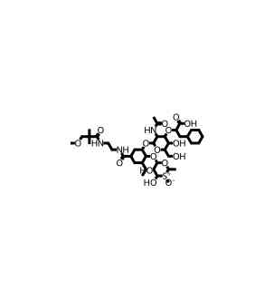 CCC1CC(C(=O)NCCNC(=O)C(C)(C)COC)CC(OC2OC(CO)C(O)C(OC(CC3CCCCC3)C(=O)O)C2NC(C)=O)C1OC1OC(C)[S+]([O-])C(O)C1O